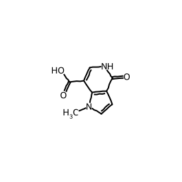 Cn1ccc2c(=O)[nH]cc(C(=O)O)c21